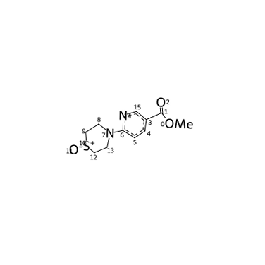 COC(=O)c1ccc(N2CC[S+]([O-])CC2)nc1